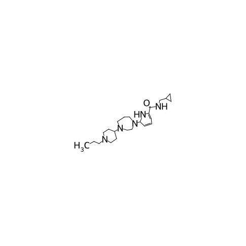 CCCN1CCC(N2CCCN(C3C=CC=C(C(=O)NCC4CC4)N3)CC2)CC1